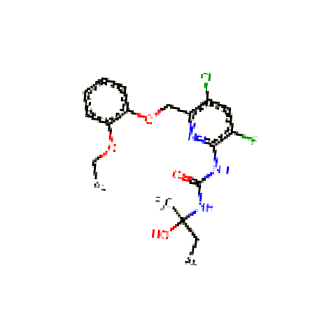 CC(=O)COc1ccccc1OCc1nc(NC(=O)NC(O)(CC(C)=O)C(F)(F)F)c(F)cc1Cl